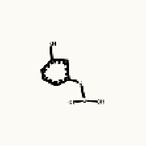 OB(O)Oc1cccc(S)c1